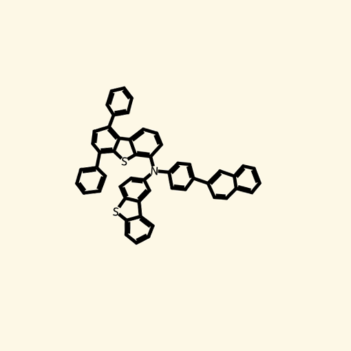 c1ccc(-c2ccc(-c3ccccc3)c3c2sc2c(N(c4ccc(-c5ccc6ccccc6c5)cc4)c4ccc5sc6ccccc6c5c4)cccc23)cc1